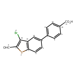 O=Cc1sc2ccc(-c3ccc(C(=O)O)cc3)cc2c1Br